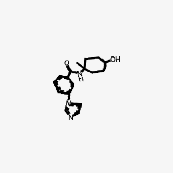 CC1(NC(=O)c2cccc(-n3ccnc3)c2)CCC(O)CC1